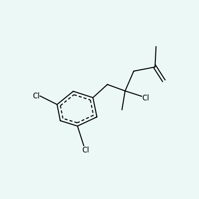 C=C(C)CC(C)(Cl)Cc1cc(Cl)cc(Cl)c1